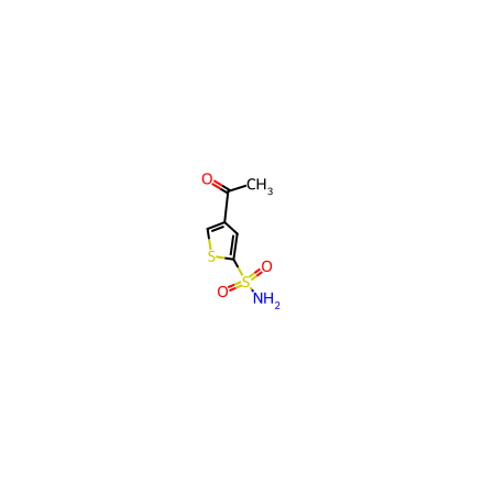 CC(=O)c1csc(S(N)(=O)=O)c1